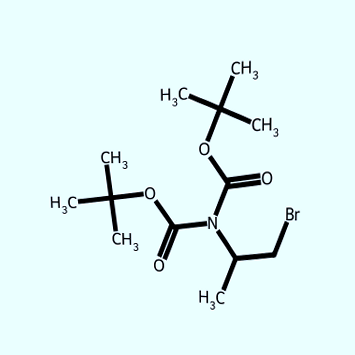 CC(CBr)N(C(=O)OC(C)(C)C)C(=O)OC(C)(C)C